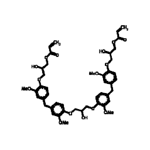 C=CC(=O)OCC(O)COc1ccc(Cc2ccc(OCC(O)COc3ccc(Cc4ccc(OCC(O)COC(=O)C=C)c(OC)c4)cc3OC)c(OC)c2)cc1OC